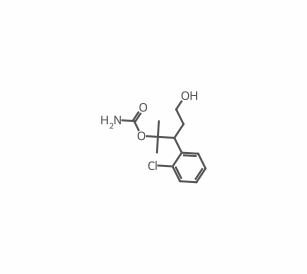 CC(C)(OC(N)=O)C(CCO)c1ccccc1Cl